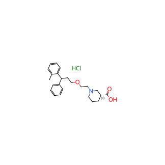 Cc1ccccc1C(CCOCCN1CCC[C@@H](C(=O)O)C1)c1ccccc1.Cl